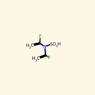 C=C(F)N(C(=C)F)S(=O)(=O)O